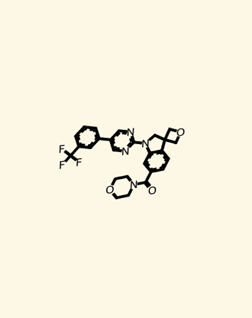 O=C(c1ccc2c(c1)N(c1ncc(-c3cccc(C(F)(F)F)c3)cn1)CC21COC1)N1CCOCC1